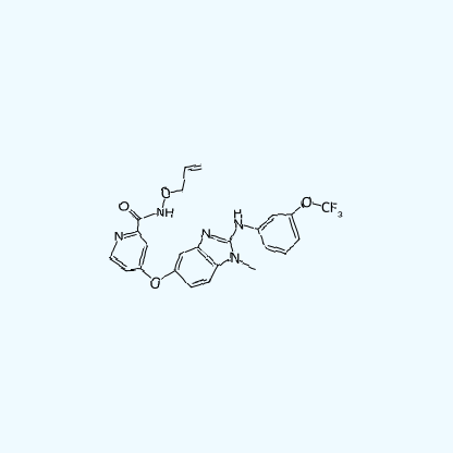 C=CCONC(=O)c1cc(Oc2ccc3c(c2)nc(Nc2cccc(OC(F)(F)F)c2)n3C)ccn1